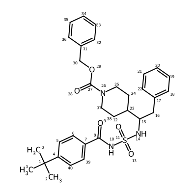 CC(C)(C)c1ccc(C(=O)NS(=O)(=O)NC(Cc2ccccc2)C2CCN(C(=O)OCc3ccccc3)CC2)cc1